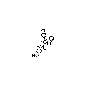 C[C@@H]1C(C(=O)NN2CCC(O)CC2)=NN(c2ccccc2Cl)[C@@H]1c1ccc(Cl)cc1